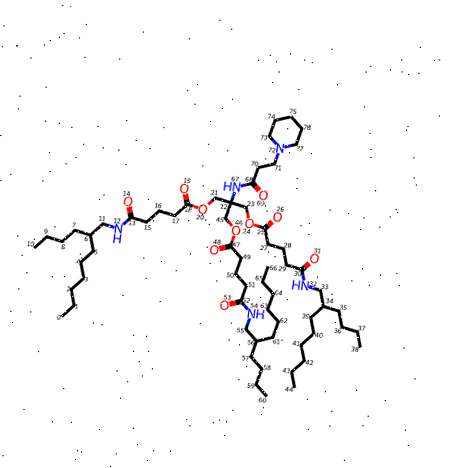 CCCCCCC(CCCC)CNC(=O)CCCC(=O)OCC(COC(=O)CCCC(=O)NCC(CCCC)CCCCCC)(COC(=O)CCCC(=O)NCC(CCCC)CCCCCC)NC(=O)CCN1CCCCC1